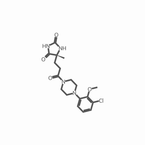 COc1c(Cl)cccc1N1CCN(C(=O)CC[C@@]2(C)NC(=O)NC2=O)CC1